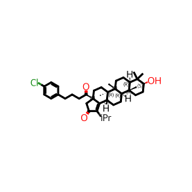 CC(C)C1=C2[C@H]3CC[C@@H]4[C@@]5(C)CC[C@H](O)C(C)(C)[C@@H]5CC[C@@]4(C)[C@]3(C)CC[C@@]2(C(=O)CCCc2ccc(Cl)cc2)CC1=O